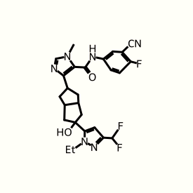 CCn1nc(C(F)F)cc1C1(O)CC2CC(c3ncn(C)c3C(=O)Nc3ccc(F)c(C#N)c3)CC2C1